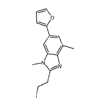 CCCc1nc2c(C)cc(-c3ccco3)cc2n1C